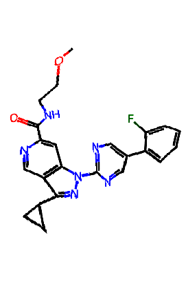 COCCNC(=O)c1cc2c(cn1)c(C1CC1)nn2-c1ncc(-c2ccccc2F)cn1